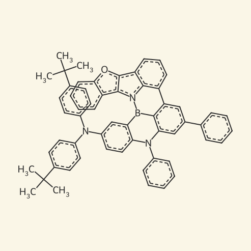 CC(C)(C)c1ccc(N(c2ccc(C(C)(C)C)cc2)c2ccc3c(c2)B2c4c(cc(-c5ccccc5)cc4N3c3ccccc3)-c3cccc4c5oc6ccccc6c5n2c34)cc1